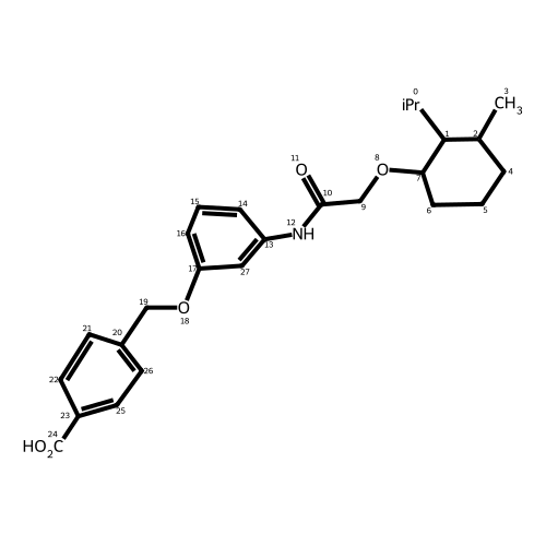 CC(C)C1C(C)CCCC1OCC(=O)Nc1cccc(OCc2ccc(C(=O)O)cc2)c1